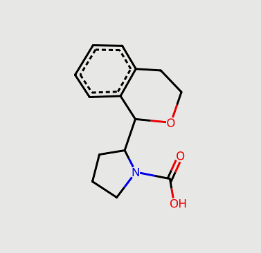 O=C(O)N1CCCC1C1OCCc2ccccc21